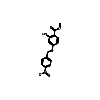 COC(=O)c1ccc(OCc2ccc([N+](=O)[O-])cc2)cc1O